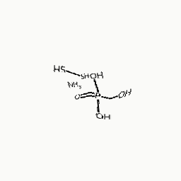 N.O=P(O)(O)O.SS